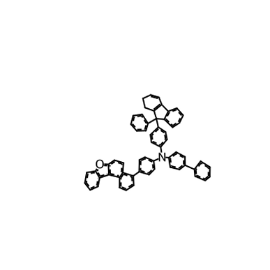 C1=CC2=C(CC1)C(c1ccccc1)(c1ccc(N(c3ccc(-c4ccccc4)cc3)c3ccc(-c4cccc5c4ccc4oc6ccccc6c45)cc3)cc1)c1ccccc12